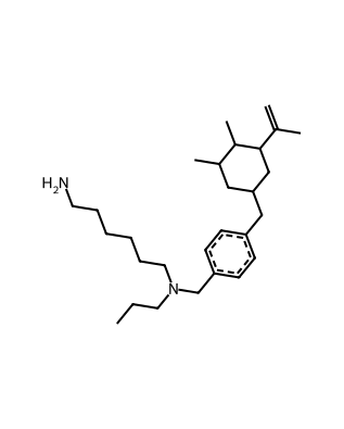 C=C(C)C1CC(Cc2ccc(CN(CCC)CCCCCCN)cc2)CC(C)C1C